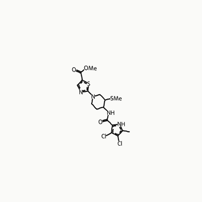 COC(=O)c1cnc(N2CCC(NC(=O)c3[nH]c(C)c(Cl)c3Cl)C(SC)C2)s1